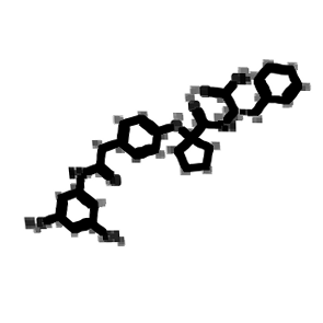 Cc1cc(C)cc(NC(=O)Cc2ccc(OC3(C(=O)N[C@@H](Cc4ccccc4)C(=O)O)CCCC3)cc2)c1